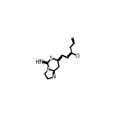 C=CC/C(Cl)=C\C=C1/CC2=NCCN2C(=N)S1